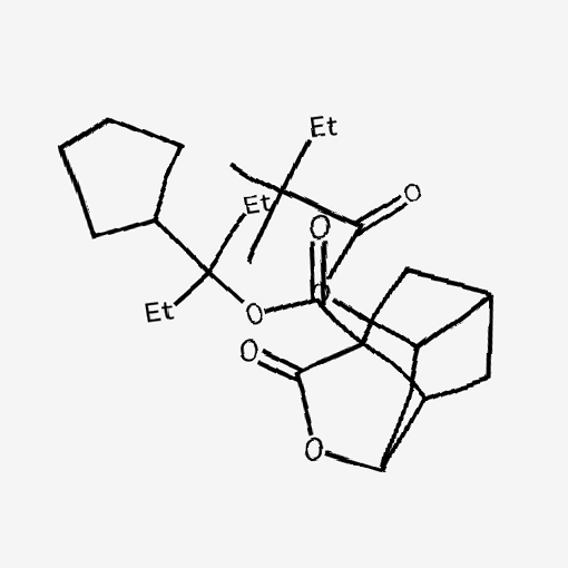 CCC(C)(C)C(=O)OC1C2CC3C1OC(=O)C3(C(=O)OC(CC)(CC)C1CCCC1)C2